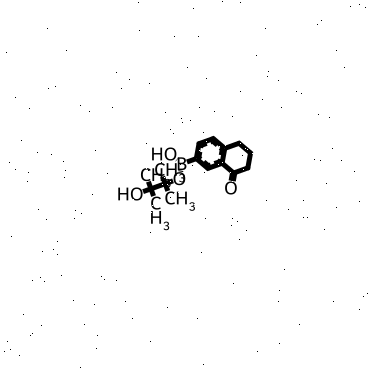 CC(C)(O)C(C)(C)OB(O)c1ccc2c(c1)C(=O)CCC2